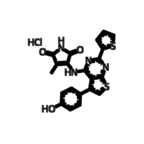 CC1=C(Nc2nc(-c3cccs3)nc3scc(-c4ccc(O)cc4)c23)C(=O)NC1=O.Cl